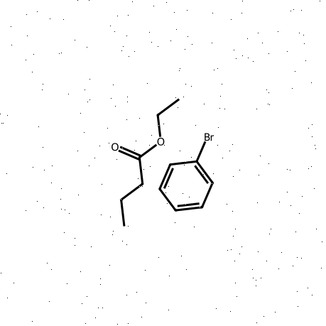 Brc1ccccc1.CCCC(=O)OCC